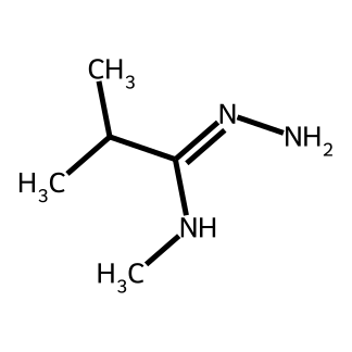 CN/C(=N\N)C(C)C